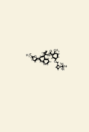 [2H]C([2H])([2H])N1CC[C@H]1COc1ccc(C)c(C(=O)NC2(c3cc(-c4cnc(C)o4)cc4ncccc34)CC2)c1